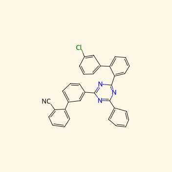 N#Cc1ccccc1-c1cccc(-c2nc(-c3ccccc3)nc(-c3ccccc3-c3cccc(Cl)c3)n2)c1